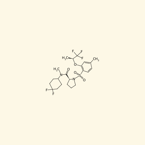 Cc1ccc(S(=O)(=O)N2CCC[C@H]2C(=O)N(C)C2CCC(F)(F)CC2)c(O[C@@H](C)C(F)(F)F)c1